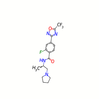 C[C@H](CN1CCCC1)NC(=O)c1ccc(-c2noc(C(F)(F)F)n2)cc1F